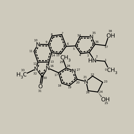 CCNc1cc(-c2ccc3ncc4c(c3c2)n(-c2ccc(N3CC[C@H](O)C3)nc2C)c(=O)n4C)cnc1CO